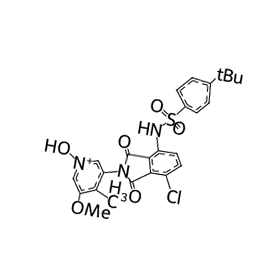 COc1c[n+](O)cc(N2C(=O)c3c(Cl)ccc(NS(=O)(=O)c4ccc(C(C)(C)C)cc4)c3C2=O)c1C